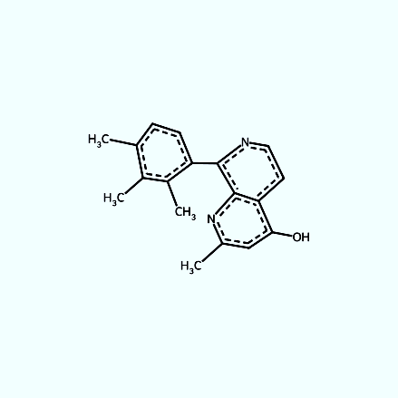 Cc1cc(O)c2ccnc(-c3ccc(C)c(C)c3C)c2n1